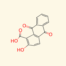 O=C1c2ccccc2C(=O)c2c1ccc(O)c2C(=O)O